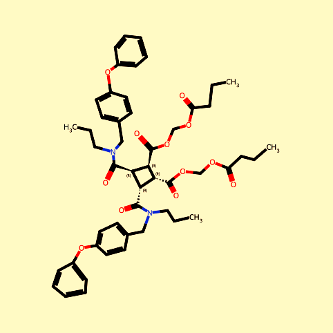 CCCC(=O)OCOC(=O)[C@H]1[C@H](C(=O)OCOC(=O)CCC)[C@H](C(=O)N(CCC)Cc2ccc(Oc3ccccc3)cc2)[C@H]1C(=O)N(CCC)Cc1ccc(Oc2ccccc2)cc1